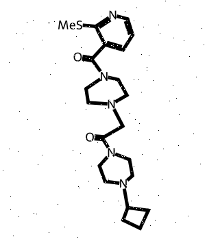 CSc1ncccc1C(=O)N1CCN(CC(=O)N2CCN(C3CCC3)CC2)CC1